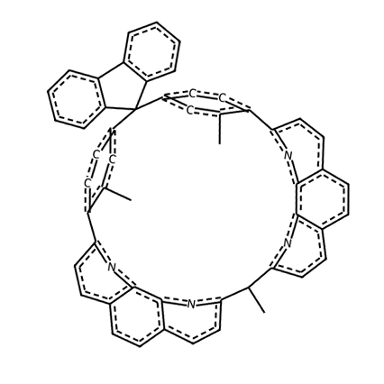 Cc1cc2ccc1-c1ccc3ccc4ccc(nc4c3n1)C(C)c1ccc3ccc4ccc(nc4c3n1)-c1ccc(cc1C)C21c2ccccc2-c2ccccc21